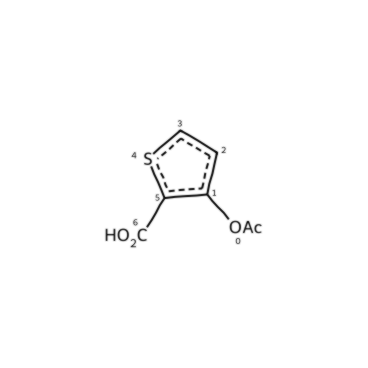 CC(=O)Oc1ccsc1C(=O)O